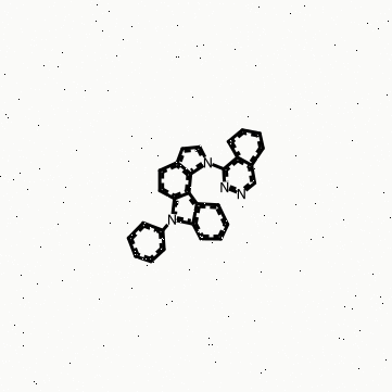 c1ccc(-n2c3ccccc3c3c4c(ccc32)ccn4-c2nncc3ccccc23)cc1